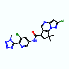 Cn1nnnc1-c1ncc(NC(=O)[C@@H]2CC(C)(C)c3c2cnc2cc(Cl)nn32)cc1Cl